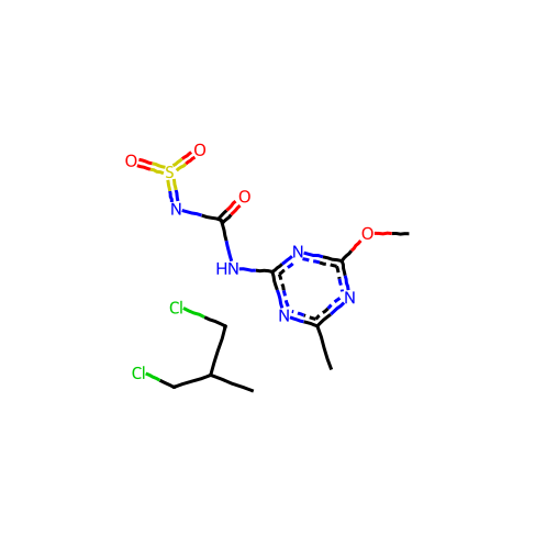 CC(CCl)CCl.COc1nc(C)nc(NC(=O)N=S(=O)=O)n1